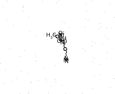 Cc1ccc(NC(=O)c2coc(CCc3ccc(CCCCn4ccnn4)cc3)n2)c([N+](=O)[O-])c1